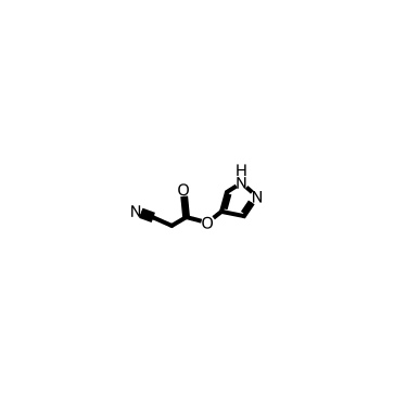 N#CCC(=O)Oc1cn[nH]c1